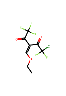 CCOC=C(C(=O)C(F)(F)F)C(=O)C(F)(F)Cl